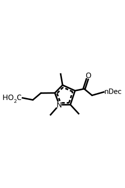 CCCCCCCCCCCC(=O)c1c(C)c(CCC(=O)O)n(C)c1C